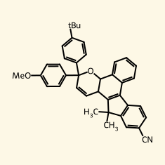 COc1ccc(C2(c3ccc(C(C)(C)C)cc3)C=CC3C4=C(c5ccccc5C3O2)c2ccc(C#N)cc2C4(C)C)cc1